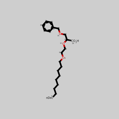 CCCCCCCCCCCCCCCCCCOCCOC(COCc1ccccc1)C(=O)O